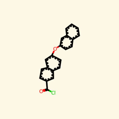 O=C(Cl)c1ccc2cc(Oc3ccc4ccccc4c3)ccc2c1